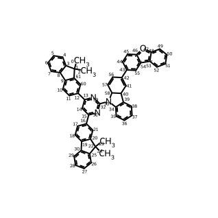 CC1(C)c2ccccc2-c2ccc(-c3cc(-c4ccc5c(c4)C(C)(C)c4ccccc4-5)nc(N4c5ccccc5C5C=C(c6ccc7oc8ccccc8c7c6)C=CC54)n3)cc21